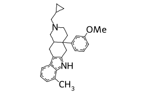 COc1cccc(C23CCN(CC4CC4)CC2Cc2c([nH]c4c(C)cccc24)C3)c1